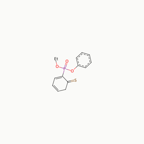 CCOP(=O)(Oc1ccccc1)C1=CC=CCC1=S